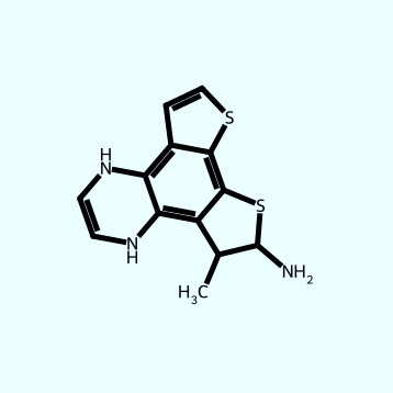 CC1c2c3c(c4ccsc4c2SC1N)NC=CN3